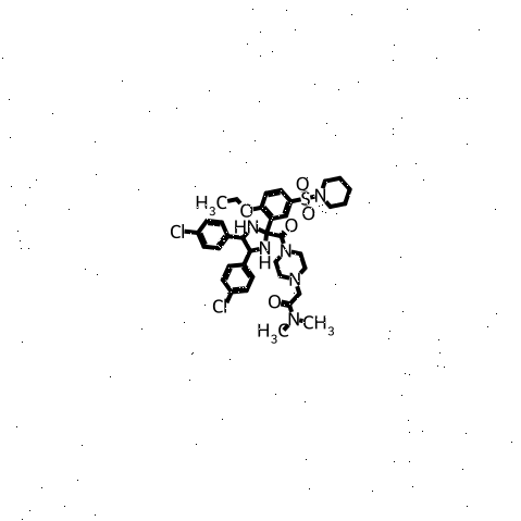 CCOc1ccc(S(=O)(=O)N2CCCCC2)cc1C1(C(=O)N2CCN(CC(=O)N(C)C)CC2)NC(c2ccc(Cl)cc2)C(c2ccc(Cl)cc2)N1